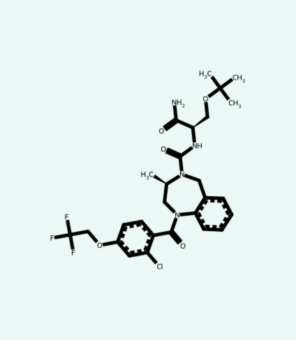 C[C@@H]1CN(C(=O)c2ccc(OCC(F)(F)F)cc2Cl)c2ccccc2CN1C(=O)N[C@H](COC(C)(C)C)C(N)=O